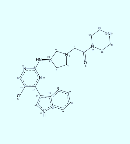 O=C(CN1CC[C@@H](Nc2ncc(Cl)c(-c3c[nH]c4ccccc34)n2)C1)N1CCNCC1